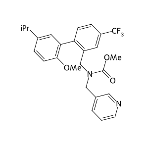 COC(=O)N(Cc1cccnc1)Cc1cc(C(F)(F)F)ccc1-c1cc(C(C)C)ccc1OC